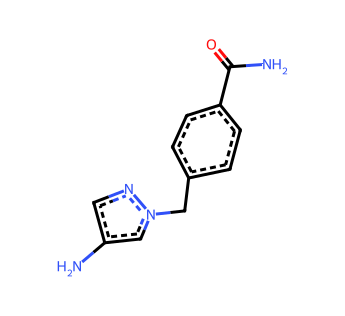 NC(=O)c1ccc(Cn2cc(N)cn2)cc1